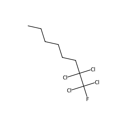 CCCCCCC(Cl)(Cl)C(F)(Cl)Cl